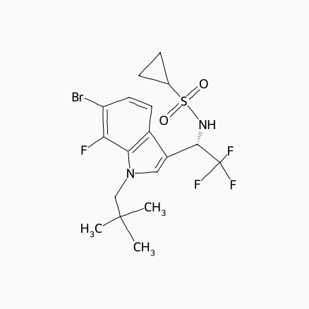 CC(C)(C)Cn1cc([C@H](NS(=O)(=O)C2CC2)C(F)(F)F)c2ccc(Br)c(F)c21